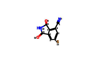 N#Cc1cccc2c1C(=O)NC2=O.[S]